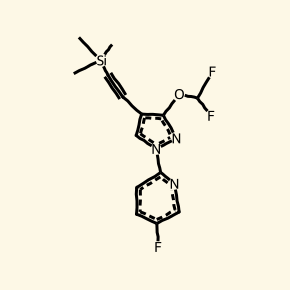 C[Si](C)(C)C#Cc1cn(-c2ccc(F)cn2)nc1OC(F)F